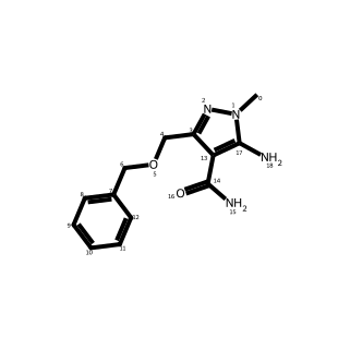 Cn1nc(COCc2ccccc2)c(C(N)=O)c1N